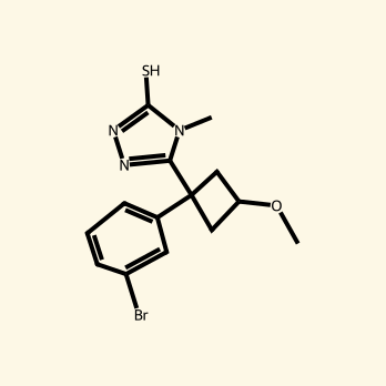 COC1CC(c2cccc(Br)c2)(c2nnc(S)n2C)C1